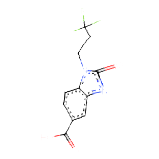 O=C(O)c1ccc2c(c1)[nH]c(=O)n2CCC(F)(F)F